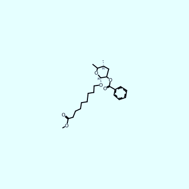 COC(=O)CCCCCCCCO[C@@H]1OC(C)[C@H](C)CC1OC(=O)c1ccccc1